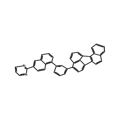 c1cnc(-c2ccc3c(-c4cccc(-c5ccc6c7c(cccc57)-c5c-6ccc6ccccc56)c4)cccc3c2)nc1